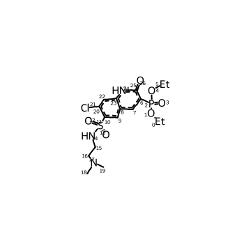 CCOP(=O)(OCC)c1cc2cc(S(=O)(=O)NCCN(C)C)c(Cl)cc2[nH]c1=O